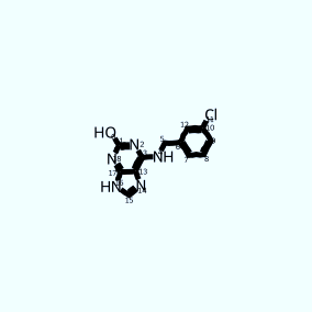 Oc1nc(NCc2cccc(Cl)c2)c2nc[nH]c2n1